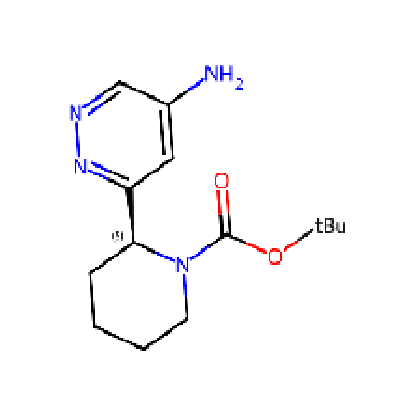 CC(C)(C)OC(=O)N1CCCC[C@H]1c1cc(N)cnn1